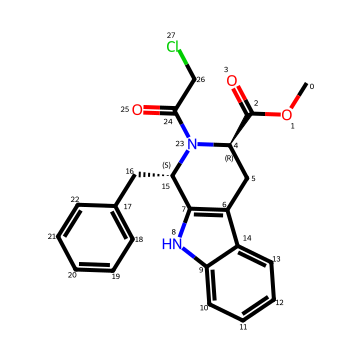 COC(=O)[C@H]1Cc2c([nH]c3ccccc23)[C@H](Cc2ccccc2)N1C(=O)CCl